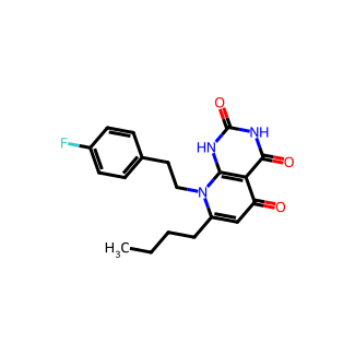 CCCCc1cc(=O)c2c(=O)[nH]c(=O)[nH]c2n1CCc1ccc(F)cc1